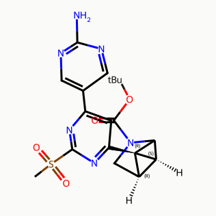 CC(C)(C)OC(=O)N1C[C@@H]2[C@@H]3C1[C@@]23c1cc(-c2cnc(N)nc2)nc(S(C)(=O)=O)n1